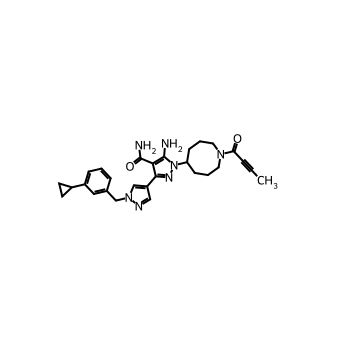 CC#CC(=O)N1CCCC(n2nc(-c3cnn(Cc4cccc(C5CC5)c4)c3)c(C(N)=O)c2N)CCC1